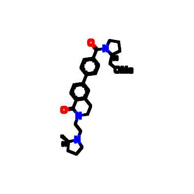 COC[C@@H]1CCCN1C(=O)c1ccc(-c2ccc3c(c2)CCN(CCN2CCC[C@H]2C)C3=O)cc1